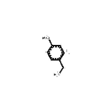 COc1ccc(CN)cc1.I